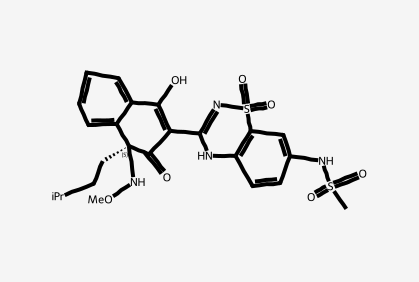 CON[C@]1(CCC(C)C)C(=O)C(C2=NS(=O)(=O)c3cc(NS(C)(=O)=O)ccc3N2)=C(O)c2ccccc21